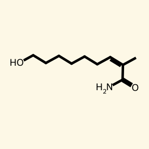 CC(=CCCCCCCO)C(N)=O